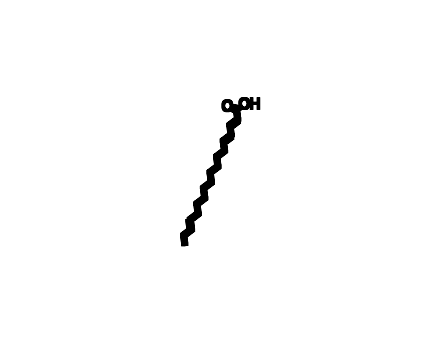 CCC=CCCCCCCCCCC=CC=CC(=O)O